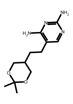 CC1(C)OCC(CCc2cnc(N)nc2N)CO1